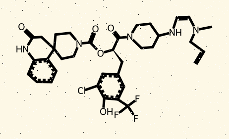 C=CCN(C)/C=C\NC1CCN(C(=O)[C@@H](Cc2cc(Cl)c(O)c(C(F)(F)F)c2)OC(=O)N2CCC3(CC2)CC(=O)Nc2ccccc23)CC1